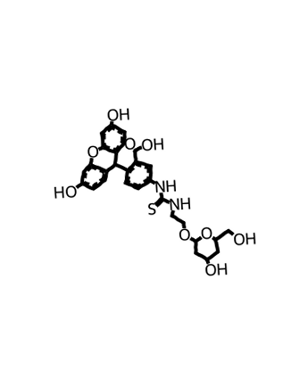 O=C(O)c1cc(NC(=S)NCCOC2CC(O)CC(CO)O2)ccc1C1c2ccc(O)cc2Oc2cc(O)ccc21